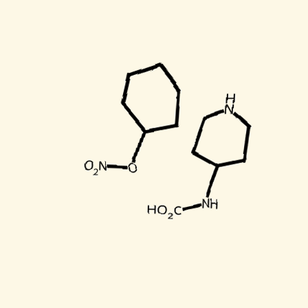 O=C(O)NC1CCNCC1.O=[N+]([O-])OC1CCCCC1